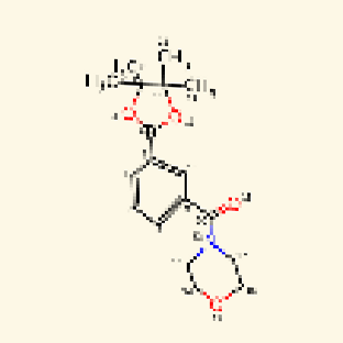 CC1(C)OB(c2cccc(C(=O)N3CCOCC3)c2)OC1(C)C